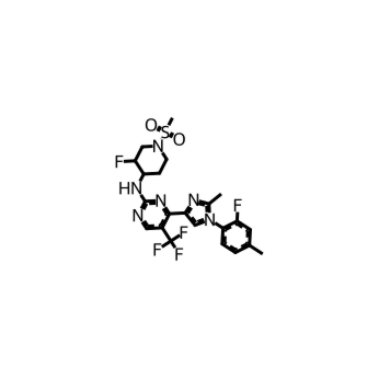 Cc1ccc(-n2cc(-c3nc(NC4CCN(S(C)(=O)=O)CC4F)ncc3C(F)(F)F)nc2C)c(F)c1